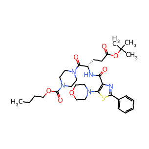 CCCCOC(=O)N1CCN(C(=O)[C@H](CCC(=O)OC(C)(C)C)NC(=O)c2nc(-c3ccccc3)sc2N2CCOCC2)CC1